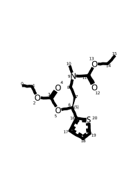 CCOC(=O)O[C@@H](CCN(C)C(=O)OCC)c1cccs1